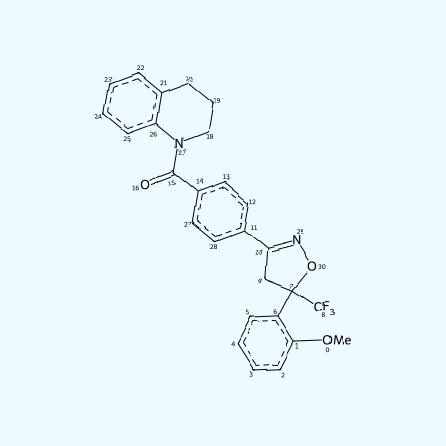 COc1ccccc1C1(C(F)(F)F)CC(c2ccc(C(=O)N3CCCc4ccccc43)cc2)=NO1